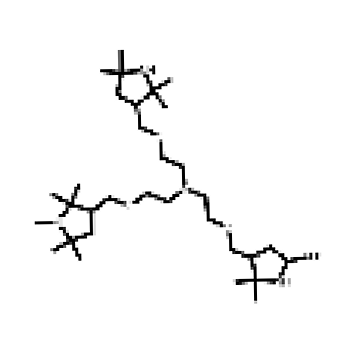 CC(C)C1CC(COCCN(CCOCC2CC(C)(C)NC2(C)C)CCOCC2CC(C)(C)N(C)C2(C)C)C(C)(C)N1